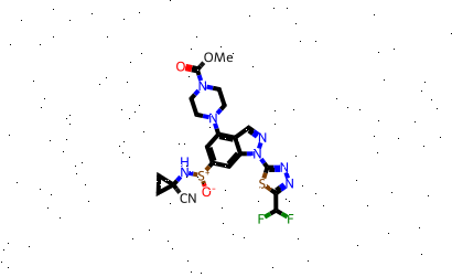 COC(=O)N1CCN(c2cc([S+]([O-])NC3(C#N)CC3)cc3c2cnn3-c2nnc(C(F)F)s2)CC1